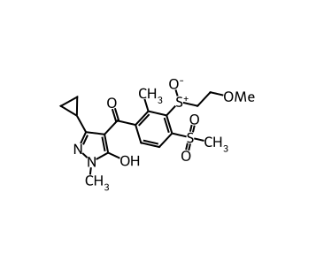 COCC[S+]([O-])c1c(S(C)(=O)=O)ccc(C(=O)c2c(C3CC3)nn(C)c2O)c1C